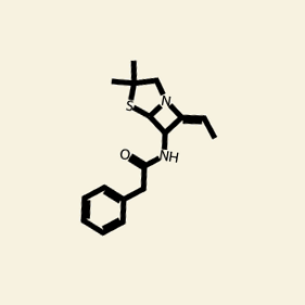 C/C=C1\C(NC(=O)Cc2ccccc2)C2SC(C)(C)CN12